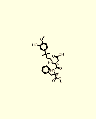 COC(=O)[C@](C)(Cc1ccccc1)NC(=O)[C@H](CC(=O)O)NCCC(C)(C)c1ccc(OC)c(O)c1